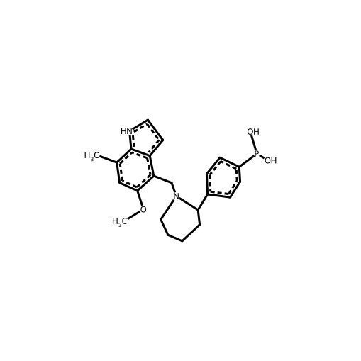 COc1cc(C)c2[nH]ccc2c1CN1CCCCC1c1ccc(P(O)O)cc1